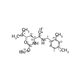 Cc1ccc(CNC(=O)[C@H](CC[S+](C)C)NC(=O)OC(C)(C)C)c(C)c1.[I-]